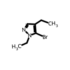 CCc1[c]nn(CC)c1Br